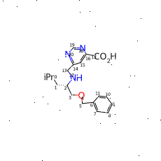 CC(C)C[C@@H](COCc1ccccc1)NCc1cc(C(=O)O)ncn1